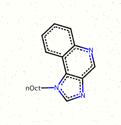 CCCCCCCCn1cnc2cnc3ccccc3c21